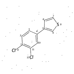 Clc1ccc(-c2c[c]sc2)cc1Cl